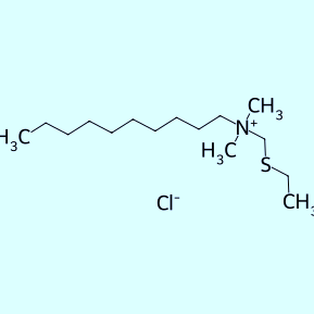 CCCCCCCCCC[N+](C)(C)CSCC.[Cl-]